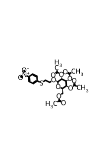 CC(=O)OC[C@H]1O[C@@H](OCCSc2ccc([N+](=O)[O-])cc2)[C@H](OC(C)=O)[C@@H](OC(C)=O)[C@H]1OC(C)=O